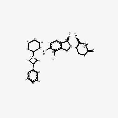 O=C1CC[C@H](N2Cc3c(ccc(O[C@H]4CCCCC4N4CC(c5ccccc5)C4)c3Cl)C2=O)C(=O)N1